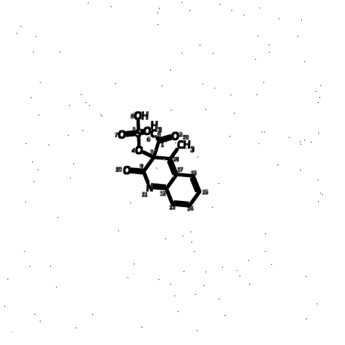 CC(=O)C1(OS(=O)(=O)O)C(=O)N=c2ccccc2=C1C